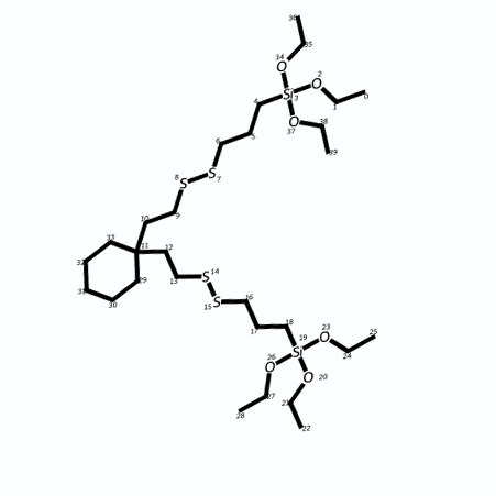 CCO[Si](CCCSSCCC1(CCSSCCC[Si](OCC)(OCC)OCC)CCCCC1)(OCC)OCC